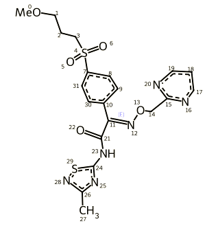 COCCCS(=O)(=O)c1ccc(/C(=N\OCc2ncccn2)C(=O)Nc2nc(C)ns2)cc1